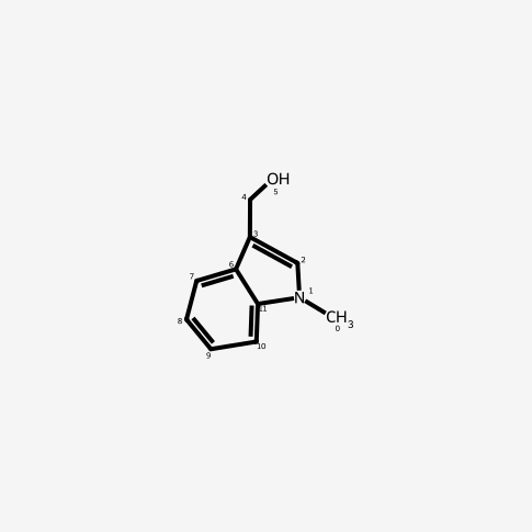 Cn1cc(CO)c2ccccc21